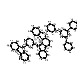 c1ccc(-c2nc(-c3ccccc3)nc(-c3cccc(-n4c5ccccc5c5c4ccc4c6ccccc6n(-c6ccnc(-n7c8ccccc8c8ncccc87)n6)c45)c3)n2)cc1